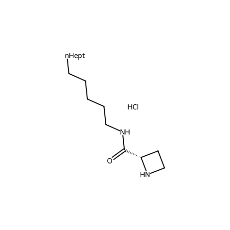 CCCCCCCCCCCCNC(=O)[C@@H]1CCN1.Cl